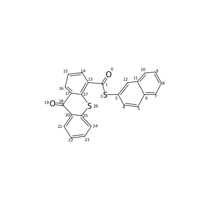 O=C(Sc1ccc2ccccc2c1)c1cccc2c(=O)c3ccccc3sc12